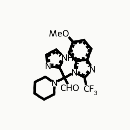 COc1ccc2nc(C(F)(F)F)n(C(C=O)(c3ncc[nH]3)N3CCCCC3)c2c1